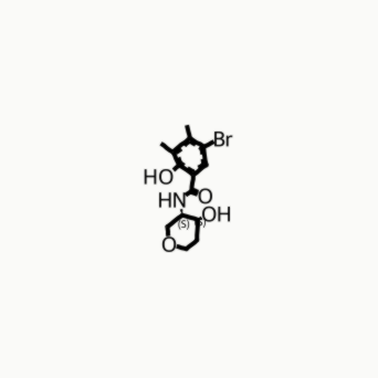 Cc1c(Br)cc(C(=O)N[C@H]2COCC[C@@H]2O)c(O)c1C